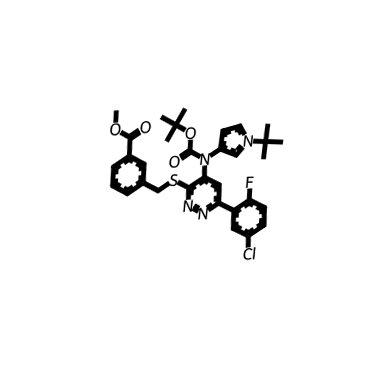 COC(=O)c1cccc(CSc2nnc(-c3cc(Cl)ccc3F)cc2N(C(=O)OC(C)(C)C)c2ccn(C(C)(C)C)c2)c1